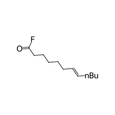 CCCCC=CCCCCCC(=O)F